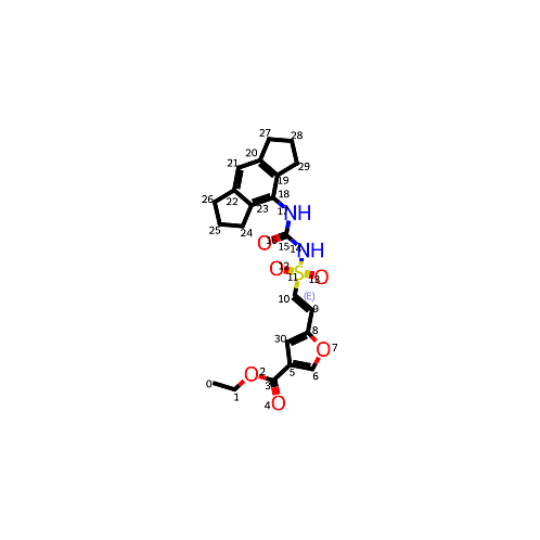 CCOC(=O)c1coc(/C=C/S(=O)(=O)NC(=O)Nc2c3c(cc4c2CCC4)CCC3)c1